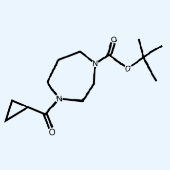 CC(C)(C)OC(=O)N1CCCN(C(=O)C2CC2)CC1